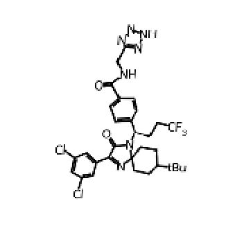 CC(C)(C)C1CCC2(CC1)N=C(c1cc(Cl)cc(Cl)c1)C(=O)N2[C@H](CCC(F)(F)F)c1ccc(C(=O)NCc2nn[nH]n2)cc1